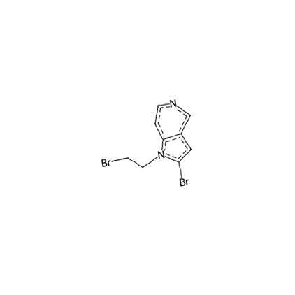 BrCCn1c(Br)cc2cnccc21